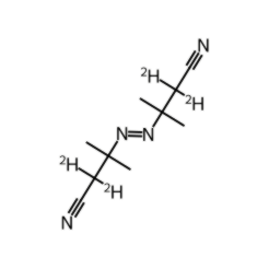 [2H]C([2H])(C#N)C(C)(C)N=NC(C)(C)C([2H])([2H])C#N